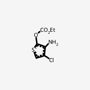 CCOC(=O)Oc1scc(Cl)c1N